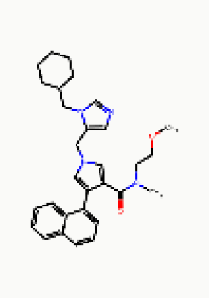 COCCN(C)C(=O)c1cn(Cc2cncn2CC2CCCCC2)cc1-c1cccc2ccccc12